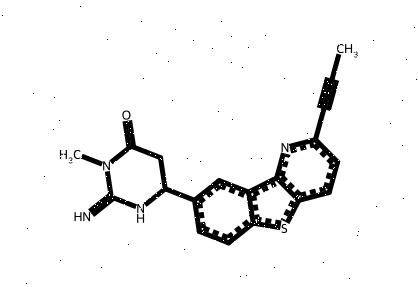 CC#Cc1ccc2sc3ccc(C4CC(=O)N(C)C(=N)N4)cc3c2n1